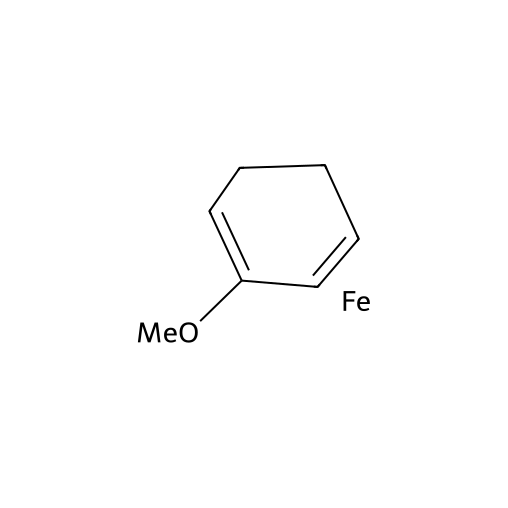 COC1=CCCC=C1.[Fe]